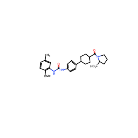 COc1ccc(C)cc1NC(=O)Nc1ccc(C2CCC(C(=O)N3CCCC3C(=O)O)CC2)cc1